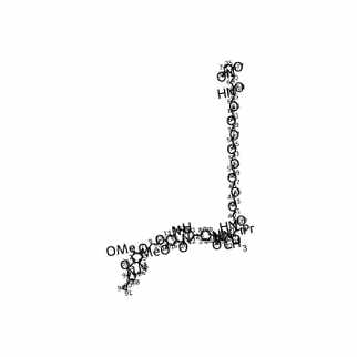 COc1cc2c(cc1OCCCOc1cc3c(cc1OC)C(=O)N1C=C(c4ccc(NC(=O)[C@H](C)NC(=O)C(NC(=O)CCOCCOCCOCCOCCOCCOCCOCCOCCNC(=O)CCN5C(=O)C=CC5=O)C(C)C)cc4)C[C@H]1C=N3)N=CC1CC(C3CC3)=CN1C2=O